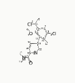 COc1c(C(C)Cl)cc(Cl)c(C)c1C1C=CC(C(=O)N(C)C)=NC1